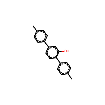 Cc1ccc(-c2ccc(-c3ccc(C)cc3)c(O)c2)cc1